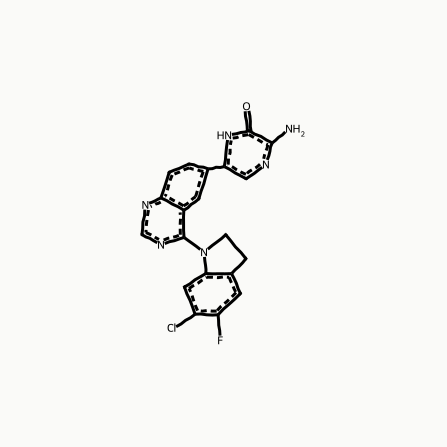 Nc1ncc(-c2ccc3ncnc(N4CCc5cc(F)c(Cl)cc54)c3c2)[nH]c1=O